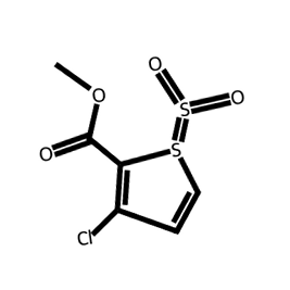 COC(=O)C1=C(Cl)C=CS1=S(=O)=O